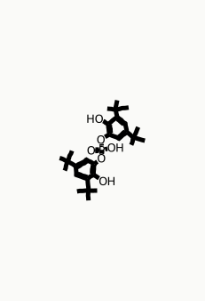 CC(C)(C)c1cc(OP(=O)(O)Oc2cc(C(C)(C)C)cc(C(C)(C)C)c2O)c(O)c(C(C)(C)C)c1